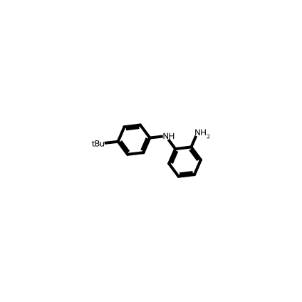 CC(C)(C)c1ccc(Nc2ccccc2N)cc1